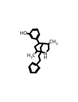 CC1CNC2(CCc3ccccc3)CC1C(c1cccc(O)c1)CC2C